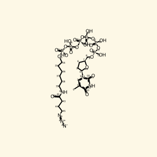 Cc1cn([C@H]2CC[C@@H](COP(=O)(O)OP(=O)(O)OP(=O)(O)OP(=O)(O)OP(=O)(O)OP(=O)(O)OCCCCCCNC(=O)CCCN=[N+]=[N-])O2)c(=O)[nH]c1=O